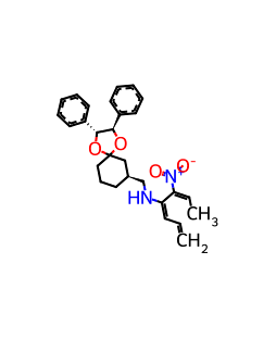 C=C/C=C(NC[C@H]1CCCC2(C1)O[C@H](c1ccccc1)[C@@H](c1ccccc1)O2)\C(=C/C)[N+](=O)[O-]